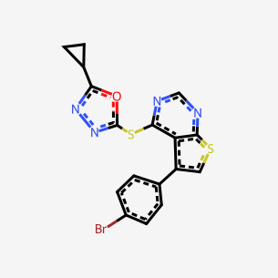 Brc1ccc(-c2csc3ncnc(Sc4nnc(C5CC5)o4)c23)cc1